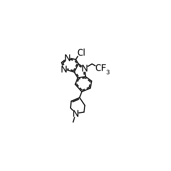 CN1CC=C(c2ccc3c(c2)c2ncnc(Cl)c2n3CC(F)(F)F)CC1